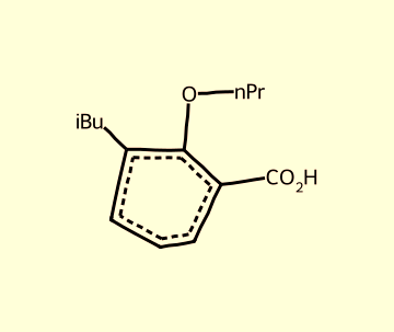 CCCOc1c(C(=O)O)cccc1C(C)CC